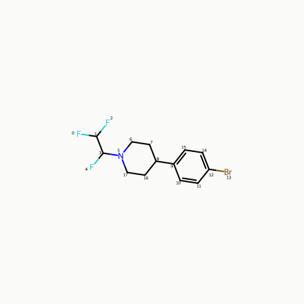 FC(F)C(F)N1CCC(c2ccc(Br)cc2)CC1